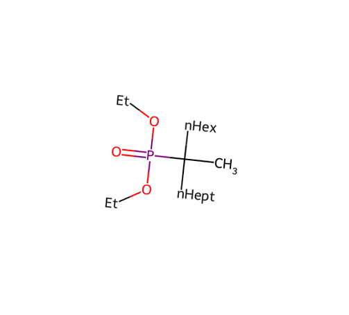 CCCCCCCC(C)(CCCCCC)P(=O)(OCC)OCC